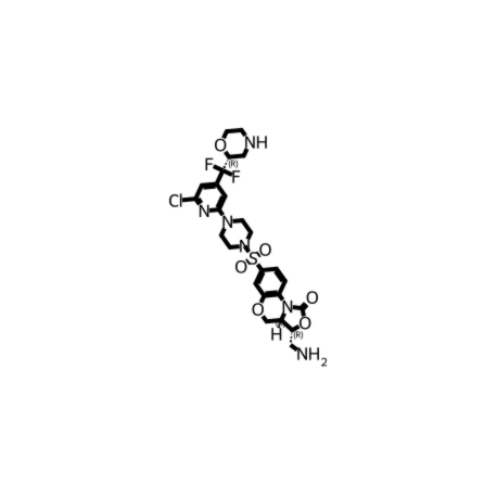 NC[C@H]1OC(=O)N2c3ccc(S(=O)(=O)N4CCN(c5cc(C(F)(F)[C@H]6CNCCO6)cc(Cl)n5)CC4)cc3OC[C@H]12